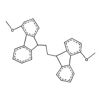 COc1cccc2c1-c1ccccc1C2CCC1c2ccccc2-c2c(OC)cccc21